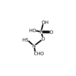 O=CN(S)OP(=O)(O)O